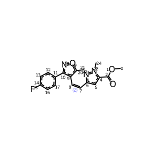 COC(=O)c1cc(/C=C\c2c(-c3ccc(F)cc3)noc2C)nn1C